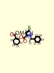 COC(=O)C1=C(OC(=O)c2cc(F)nn2[C@H](C)c2ccccc2)CCCC1